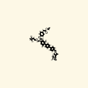 CCOC(=O)C[C@H]1CC[C@H](Oc2nc3c(F)c(-c4ccc(-c5ccc(CN6CC(CS(C)(=O)=O)C6)cc5)cc4)c(F)cc3n2COCC[Si](C)(C)C)CC1